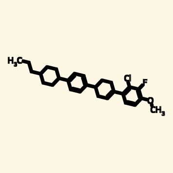 CCCC1CCC(c2ccc(C3CC=C(c4ccc(OC)c(F)c4Cl)CC3)cc2)CC1